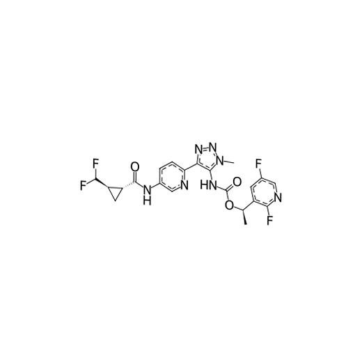 C[C@@H](OC(=O)Nc1c(-c2ccc(NC(=O)[C@@H]3C[C@H]3C(F)F)cn2)nnn1C)c1cc(F)cnc1F